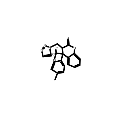 CCC(O)(CC)C1(c2ccc(F)cc2)c2ccccc2OC(=O)C1Cn1ccnn1